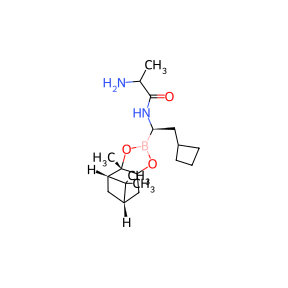 CC(N)C(=O)N[C@@H](CC1CCC1)B1OC2C[C@@H]3C[C@@H](C3(C)C)[C@]2(C)O1